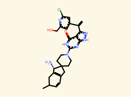 C=C(c1cc(Cl)nc(CO)c1)c1n[nH]c2nc(N3CCC4(CC3)CC3=C(CC(C)C=C3)[C@H]4N)[nH]c(=O)c12